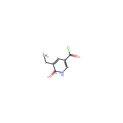 CCc1cc(C(=O)Cl)c[nH]c1=O